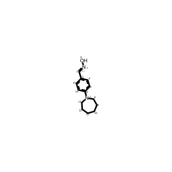 O/N=C/c1ccc(N2CCCCCC2)cc1